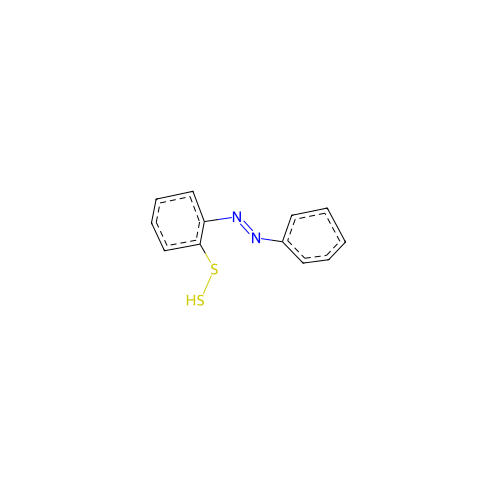 SSc1ccccc1N=Nc1ccccc1